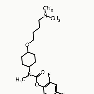 CN(C)CCCCOC1CCC(N(C)C(=O)Oc2ccc(F)cc2F)CC1